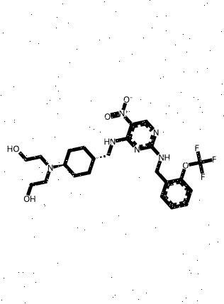 O=[N+]([O-])c1cnc(NCc2ccccc2OC(F)(F)F)nc1NC[C@H]1CC[C@H](N(CCO)CCO)CC1